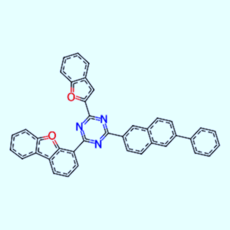 c1ccc(-c2ccc3cc(-c4nc(-c5cc6ccccc6o5)nc(-c5cccc6c5oc5ccccc56)n4)ccc3c2)cc1